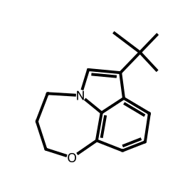 CC(C)(C)c1cn2c3c(cccc13)OCCC2